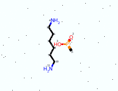 C=P(=O)O.NCCCCCCN